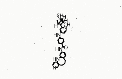 C[C@H]1C(c2cc(Nc3ccc(C(=O)Nc4ccc5c(c4)Nc4ccncc4CCC5)cc3)ccn2)[C@@H]2CC[C@H]1N(C)C2